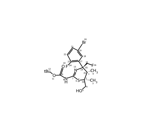 C[C@@H]1[C@@](C)(CO)SC(NC(=O)OC(C)(C)C)=N[C@]1(CF)c1cc(Br)ccc1F